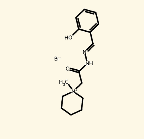 C[N+]1(CC(=O)NN=Cc2ccccc2O)CCCCC1.[Br-]